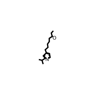 CCC(=O)CCCCCc1ccnc(C(C)C)c1